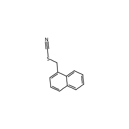 N#CSCc1cccc2ccccc12